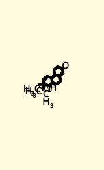 CC[C@H]1[C@@H]2CCC3=CC(=O)CCC3=C2C=CC1(CC)CC